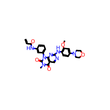 C=CC(=O)Nc1cccc(-n2c(=O)n(C)c(=O)c3cnc(Nc4ccc(N5CCOCC5)cc4OC)nc32)c1